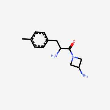 Cc1ccc(CC(N)C(=O)N2CC(N)C2)cc1